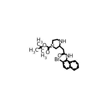 CC(C)(C)OC(=O)N1CCNC(CC(=O)Nc2c(Br)ccc3ccccc23)C1